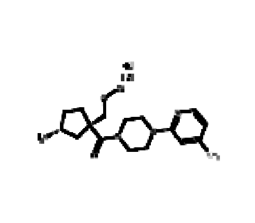 CCOC[C@]1(C(=O)N2CCN(c3cc(C(F)(F)F)ccn3)CC2)CC[C@@H](N)C1.Cl.Cl